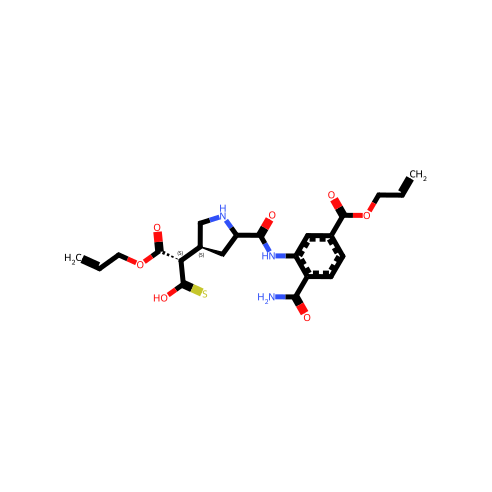 C=CCOC(=O)c1ccc(C(N)=O)c(NC(=O)C2C[C@@H]([C@@H](C(=O)OCC=C)C(O)=S)CN2)c1